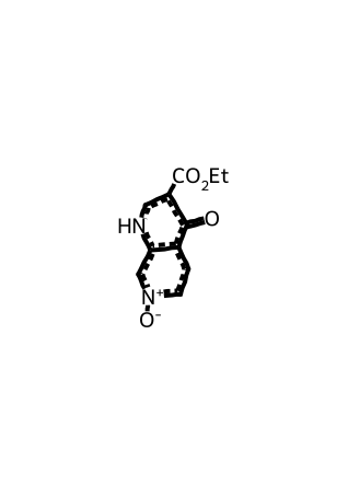 CCOC(=O)c1c[nH]c2c[n+]([O-])ccc2c1=O